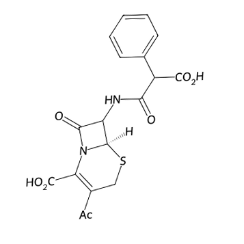 CC(=O)C1=C(C(=O)O)N2C(=O)C(NC(=O)C(C(=O)O)c3ccccc3)[C@H]2SC1